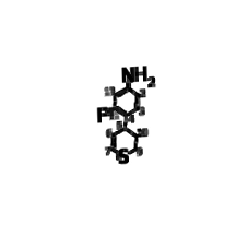 Nc1ccc(C2C=CSCC2)c(F)c1